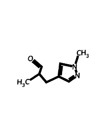 CC(C=O)Cc1cnn(C)c1